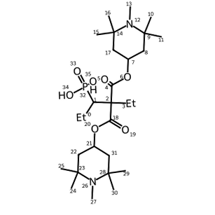 CCC(C(CC)(C(=O)OC1CC(C)(C)N(C)C(C)(C)C1)C(=O)OC1CC(C)(C)N(C)C(C)(C)C1)P(=O)(O)O